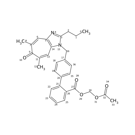 CCCc1nc2cc(C)c(=O)c(C)cc2n1Cc1ccc(-c2ccccc2C(=O)OCOC(C)=O)cc1